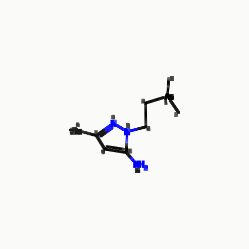 C[As](C)CCn1nc(C(C)(C)C)cc1N